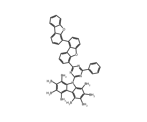 Bc1c(B)c(B)c2c(c1B)c1c(B)c(B)c(B)c(B)c1n2-c1nc(-c2ccccc2)nc(-c2cccc3c2oc2cccc(-c4cccc5c4oc4ccccc45)c23)n1